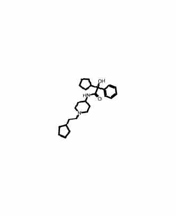 O=C(NC1CCN(CCC2CCCC2)CC1)C(O)(c1ccccc1)C1CCCC1